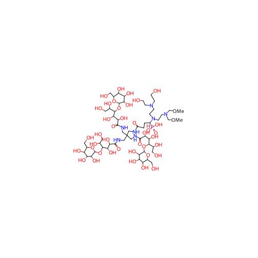 COCN(CCN(CCN(CCO)CCO)C(CCC(=O)NCC(CNC(=O)C(O)C(O)C(OC1OC(CO)C(O)C(O)C1O)C(O)CO)(CNC(=O)C(O)C(O)C(OC1OC(CO)C(O)C(O)C1O)C(O)CO)CNC(=O)C(O)C(O)C(OC1OC(CO)C(O)C(O)C1O)C(O)CO)P(=O)(O)O)COC